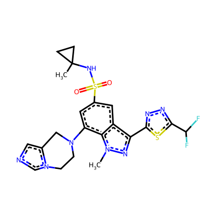 Cn1nc(-c2nnc(C(F)F)s2)c2cc(S(=O)(=O)NC3(C)CC3)cc(N3CCn4cncc4C3)c21